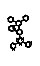 C1=CB2c3c(-c4ccccc4)cc(-c4ccccc4)cc3-c3ccc(-c4nc(-c5cccnc5)nc(-c5cccnc5)n4)cc3N2C=C1